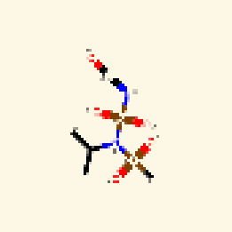 CC(C)N(S(C)(=O)=O)S(=O)(=O)N=C=O